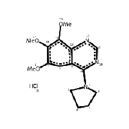 COc1cc2c(N3CCCC3)ncnc2c(OC)c1OC.Cl